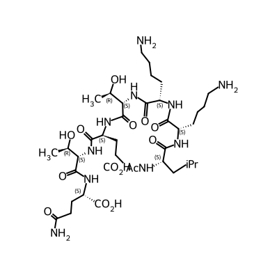 CC(=O)N[C@@H](CC(C)C)C(=O)N[C@@H](CCCCN)C(=O)N[C@@H](CCCCN)C(=O)N[C@H](C(=O)N[C@@H](CCC(=O)O)C(=O)N[C@H](C(=O)N[C@@H](CCC(N)=O)C(=O)O)[C@@H](C)O)[C@@H](C)O